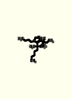 CCCCCC(C)(C)c1c(C(C)(C)CC)ncn1CCCC